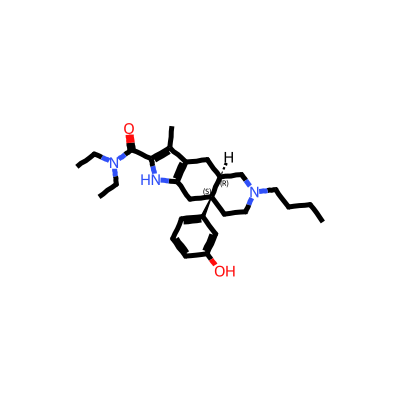 CCCCN1CC[C@]2(c3cccc(O)c3)Cc3[nH]c(C(=O)N(CC)CC)c(C)c3C[C@H]2C1